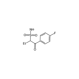 CCC(C(=O)c1ccc(F)cc1)S([NH])(=O)=O